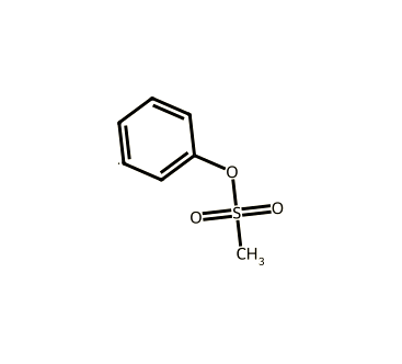 CS(=O)(=O)Oc1c[c]ccc1